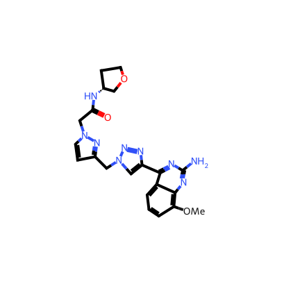 COc1cccc2c(-c3cn(Cc4ccn(CC(=O)N[C@@H]5CCOC5)n4)nn3)nc(N)nc12